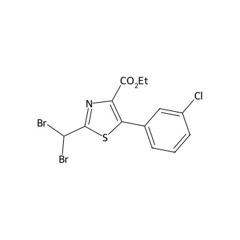 CCOC(=O)c1nc(C(Br)Br)sc1-c1cccc(Cl)c1